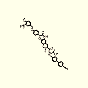 COC(=O)[C@H](Cc1ccc(-c2ccc(C#N)cc2)cc1)NC(=O)C1Cc2cc3c(cc2CN1)O[C@@H](c1ccc(OCc2ccc(OC)c(C(F)(F)F)c2)cc1)C(=O)N3